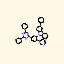 c1ccc(-c2ccc3c(c2)c2ccccc2n3-c2cc(-c3nc(-c4ccccc4)nc(-c4ccccc4)n3)ccc2-c2cccnc2)cc1